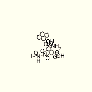 Nc1c(S(=O)(=O)O)cc2c3c(cc(S(=O)(=O)O)cc13)C(=O)N(CCNC(=O)CI)C2=O.c1cc2ccc3cccc4ccc(c1)c2c34